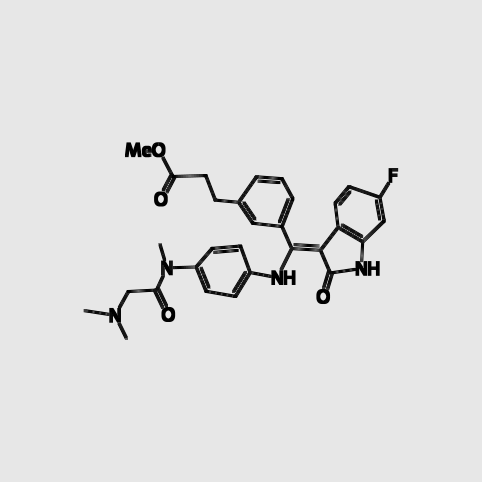 COC(=O)CCc1cccc(/C(Nc2ccc(N(C)C(=O)CN(C)C)cc2)=C2/C(=O)Nc3cc(F)ccc32)c1